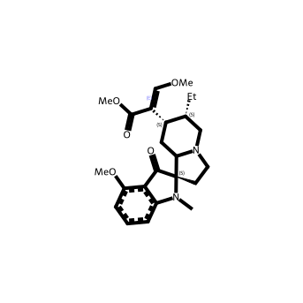 CC[C@@H]1CN2CC[C@@]3(C(=O)c4c(OC)cccc4N3C)C2C[C@@H]1/C(=C\OC)C(=O)OC